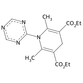 CCOC(=O)C1=C(C)N(c2ncncn2)C(C)=C(C(=O)OCC)C1